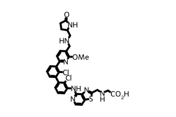 COc1nc(-c2cccc(-c3cccc(Nc4nccc5sc(CNCC(=O)O)nc45)c3Cl)c2Cl)ccc1CNCC1CCC(=O)N1